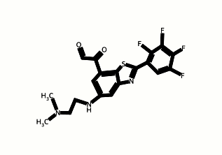 CN(C)CCNc1cc(C(=O)C=O)c2sc(-c3cc(F)c(F)c(F)c3F)nc2c1